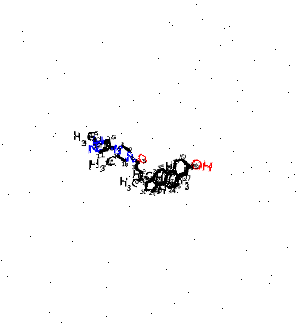 CC(CCC(=O)N1CCN(c2cnn(C)c2)[C@@H](C)C1)[C@H]1CC[C@H]2[C@@H]3CC=C4C[C@@H](O)CC[C@]4(C)[C@H]3CC[C@]12C